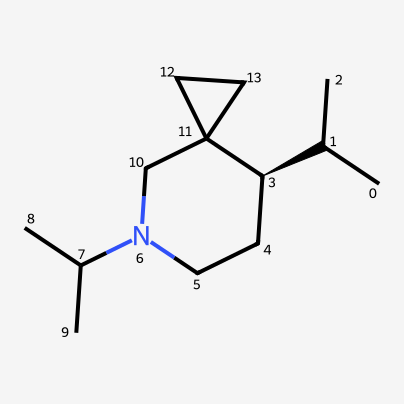 CC(C)[C@H]1CCN(C(C)C)CC12CC2